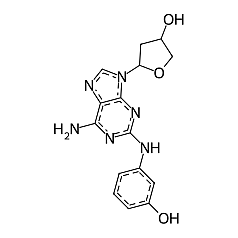 Nc1nc(Nc2cccc(O)c2)nc2c1ncn2C1CC(O)CO1